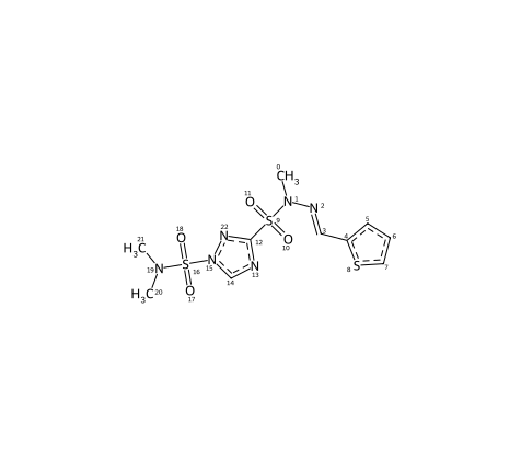 CN(/N=C/c1cccs1)S(=O)(=O)c1ncn(S(=O)(=O)N(C)C)n1